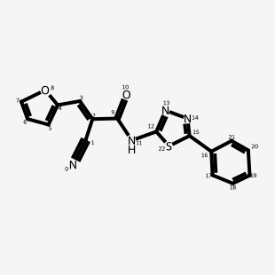 N#C/C(=C\c1ccco1)C(=O)Nc1nnc(-c2ccccc2)s1